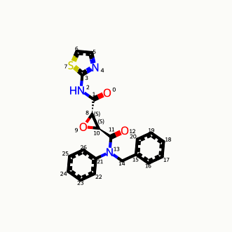 O=C(Nc1nccs1)[C@H]1O[C@@H]1C(=O)N(Cc1ccccc1)c1ccccc1